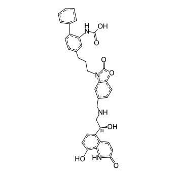 O=C(O)Nc1cc(CCCn2c(=O)oc3ccc(CNC[C@@H](O)c4ccc(O)c5[nH]c(=O)ccc45)cc32)ccc1-c1ccccc1